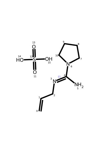 C=CC/N=C(\N)N1CCCC1.O=S(=O)(O)O